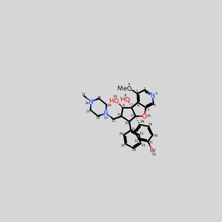 COc1cncc2c1[C@]1(O)[C@H](O)C(CN3CCN(C)CC3)C(c3ccccc3)[C@]1(c1ccc(Br)cc1)O2